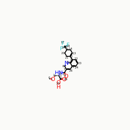 COC[C@@H](NC(=O)c1cnc2c(C3=CCC(C(F)(F)F)CC3)cccc2c1)C(=O)O